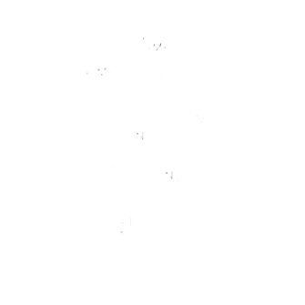 COCC(COC)n1cc(Cl)nc1Br